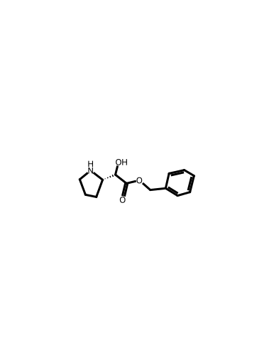 O=C(OCc1ccccc1)C(O)[C@@H]1CCCN1